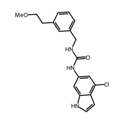 COCCc1cccc(CNC(=O)Nc2cc(Cl)c3cc[nH]c3c2)c1